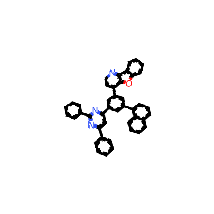 c1ccc(-c2cc(-c3cc(-c4cccc5ccccc45)cc(-c4ccnc5c4oc4ccccc45)c3)nc(-c3ccccc3)n2)cc1